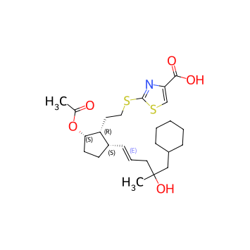 CC(=O)O[C@H]1CC[C@@H](/C=C/CC(C)(O)CC2CCCCC2)[C@H]1CCSc1nc(C(=O)O)cs1